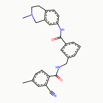 Cc1ccc(C(=O)NCc2cccc(C(=O)Nc3ccc4c(c3)CN(C)CC4)c2)c(C#N)c1